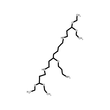 CCOC(CCPCCCCC(CCPCCC(OCC)OCC)OCCCN)OCC